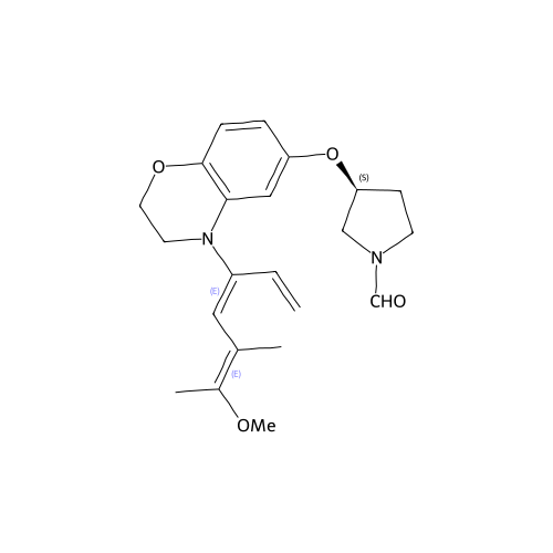 C=C/C(=C\C(C)=C(/C)OC)N1CCOc2ccc(O[C@H]3CCN(C=O)C3)cc21